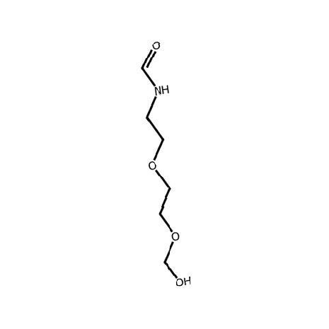 O=CNCCOCCOCO